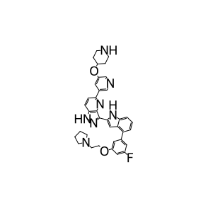 Fc1cc(OCCN2CCCC2)cc(-c2cccc3[nH]c(-c4n[nH]c5ccc(-c6cncc(OC7CCNCC7)c6)nc45)cc23)c1